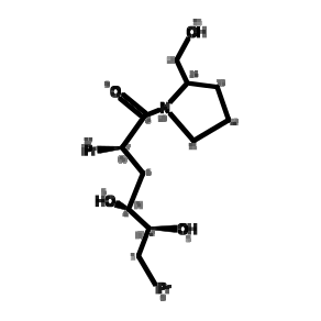 CC(C)C[C@H](O)[C@@H](O)C[C@H](C(=O)N1CCCC1CO)C(C)C